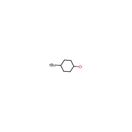 CC(C)(C)C1CCC([O])CC1